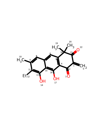 C=C1C(=O)c2c(cc3cc(C)c(CC)c(O)c3c2O)C(C)(C)C1=O